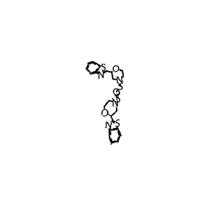 c1ccc2sc(C3CN(SOSN4CCOC(c5nc6ccccc6s5)C4)CCO3)nc2c1